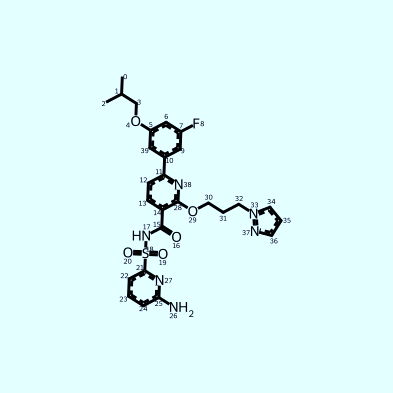 CC(C)COc1cc(F)cc(-c2ccc(C(=O)NS(=O)(=O)c3cccc(N)n3)c(OCCCn3cccn3)n2)c1